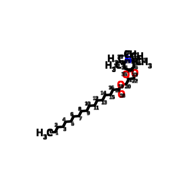 CCCCCCCCCCCCCCCCCC(=O)OCC1COC2(CC(C)(C)N(C)C(C)(C)C2)O1